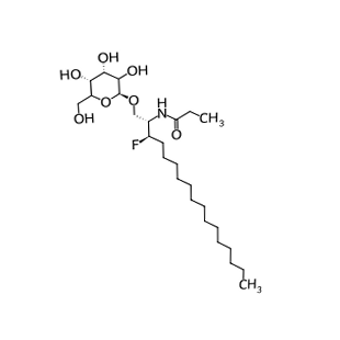 CCCCCCCCCCCCCC[C@@H](F)[C@H](CO[C@H]1OC(CO)[C@H](O)[C@H](O)C1O)NC(=O)CC